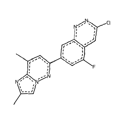 Cc1cn2nc(-c3cc(F)c4cc(Cl)nnc4c3)cc(C)c2n1